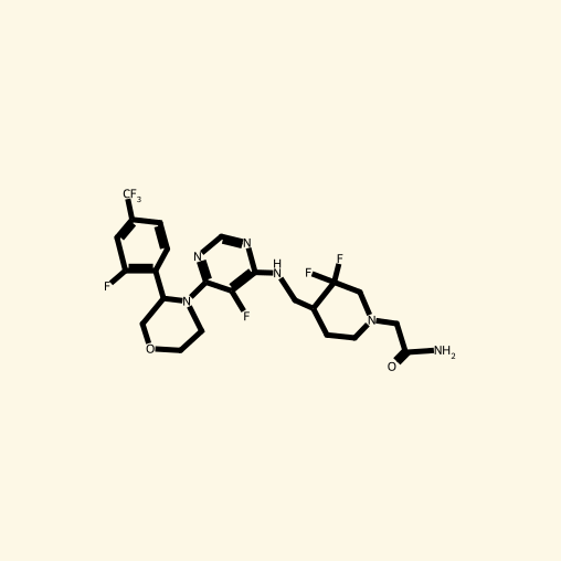 NC(=O)CN1CCC(CNc2ncnc(N3CCOCC3c3ccc(C(F)(F)F)cc3F)c2F)C(F)(F)C1